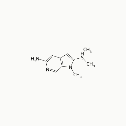 Cn1c([SH](C)C)cc2cc(N)ncc21